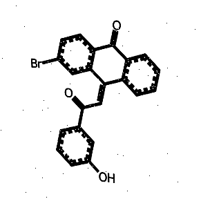 O=C(C=C1c2ccccc2C(=O)c2ccc(Br)cc21)c1cccc(O)c1